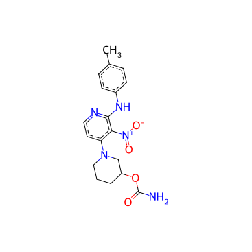 Cc1ccc(Nc2nccc(N3CCCC(OC(N)=O)C3)c2[N+](=O)[O-])cc1